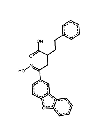 O=C(O)C(CCc1ccccc1)CC(=NO)c1ccc2oc3ccccc3c2c1